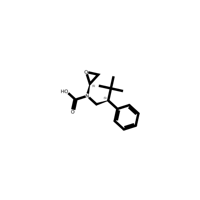 CC(C)(C)[C@H](CN(C(=O)O)[C@@H]1CO1)c1ccccc1